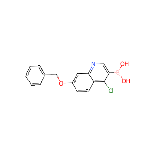 OB(O)c1cnc2cc(OCc3ccccc3)ccc2c1Cl